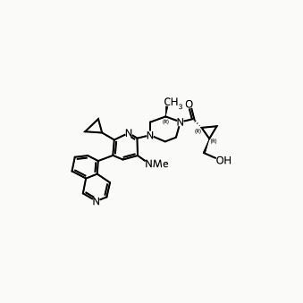 CNc1cc(-c2cccc3cnccc23)c(C2CC2)nc1N1CCN(C(=O)[C@@H]2C[C@H]2CO)[C@H](C)C1